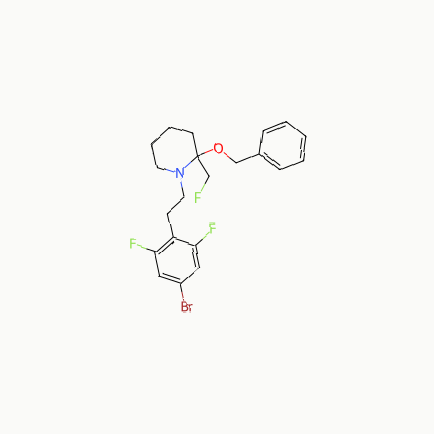 FCC1(OCc2ccccc2)CCCCN1CCc1c(F)cc(Br)cc1F